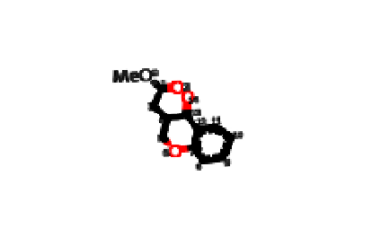 COC(=O)CC1COc2ccccc2C1=O